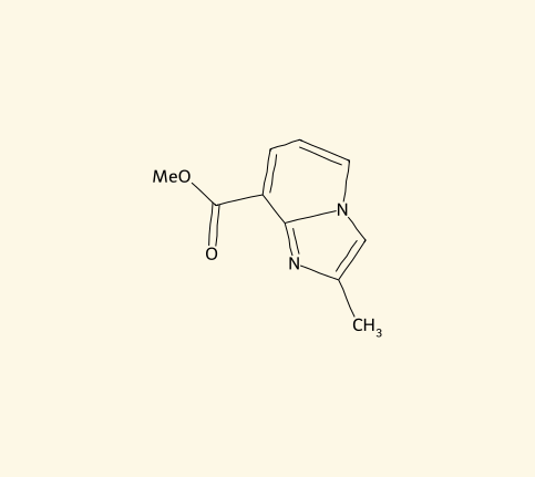 COC(=O)c1cccn2cc(C)nc12